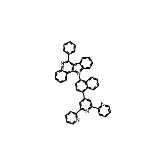 c1ccc(-c2nc3ccccc3c3c2c2ccccc2n3-c2ccc(-c3cc(-c4ccccn4)nc(-c4ccccn4)c3)c3ccccc23)cc1